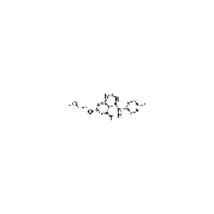 COCCOc1cc(F)c2c(Nc3ccc(C)cc3)ncnc2c1